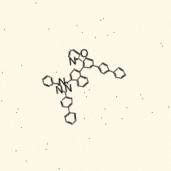 c1ccc(-c2ccc(-c3cc(-c4ccc(-c5nc(-c6ccccc6)nc(-c6ccc(-c7ccccc7)cc6)n5)c5ccccc45)c4c(c3)oc3cccnc34)cc2)cc1